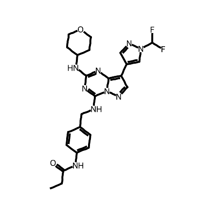 CCC(=O)Nc1ccc(CNc2nc(NC3CCOCC3)nc3c(-c4cnn(C(F)F)c4)cnn23)cc1